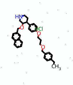 CCc1ccc(COCCCOc2ccc(C3CCNCC3OCc3ccc4ccccc4c3)cc2)cc1.Cl